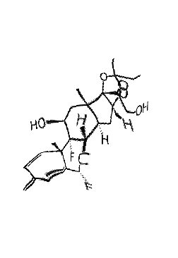 C=C1C=C[C@@]2(C)C(=C1)[C@@H](F)C[C@H]1[C@@H]3C[C@H]4OC(C)(C)O[C@@]4(C(=O)CO)[C@@]3(C)C[C@H](O)[C@@]12F